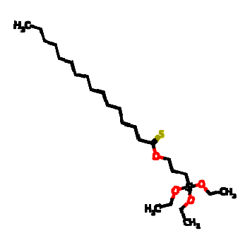 CCCCCCCCCCCCCCCC(=S)OCCC[Si](OCC)(OCC)OCC